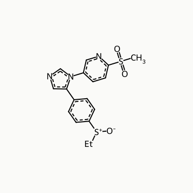 CC[S+]([O-])c1ccc(-c2cncn2-c2ccc(S(C)(=O)=O)nc2)cc1